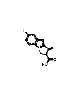 O=C(O)C1Cn2c(cc3cc(F)ccc32)C1=O